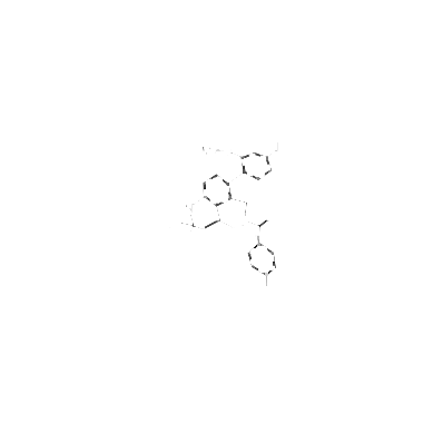 COc1cc(F)ccc1-c1ccc2c(c1COC(=S)c1ccc(C)cc1)C(C)=CC(C)(C)N2